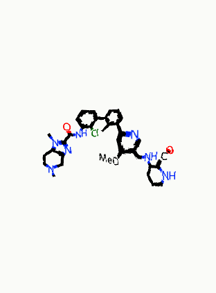 COc1cc(-c2cccc(-c3cccc(NC(=O)c4nc5c(n4C)CCN(C)C5)c3Cl)c2C)ncc1CNC1CCCNC1=C=O